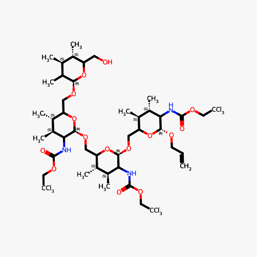 C=CCO[C@@H]1OC(CO[C@@H]2OC(CO[C@@H]3OC(CO[C@@H]4OC(CO)[C@@H](C)[C@H](C)C4C)[C@@H](C)[C@H](C)C3NC(=O)OCC(Cl)(Cl)Cl)[C@@H](C)[C@H](C)C2NC(=O)OCC(Cl)(Cl)Cl)[C@@H](C)[C@H](C)C1NC(=O)OCC(Cl)(Cl)Cl